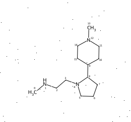 CNCCN1CCCC1C1CCN(C)CC1